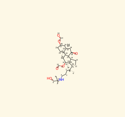 C[C@H](CCCNC(C)(C)CO)[C@H]1CCC2C3C(=O)C[C@@H]4C[C@H](OC=O)CC[C@]4(C)C3C[C@H](OC=O)[C@@]21C